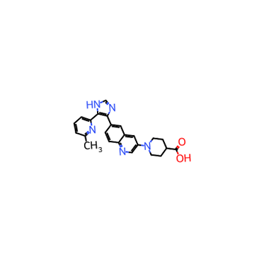 Cc1cccc(-c2[nH]cnc2-c2ccc3ncc(N4CCC(C(=O)O)CC4)cc3c2)n1